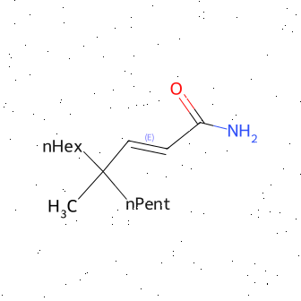 CCCCCCC(C)(/C=C/C(N)=O)CCCCC